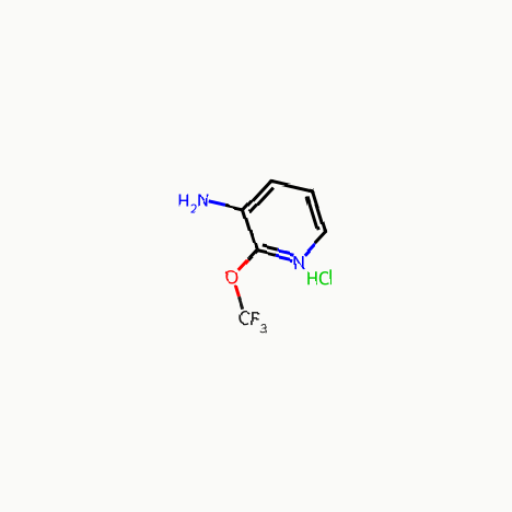 Cl.Nc1cccnc1OC(F)(F)F